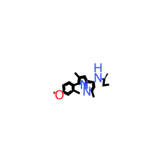 CC[C@H](C)Nc1cc(C)nn2c(-c3ccc(OC)cc3C)c(C)cc12